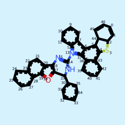 C1=CC2Sc3c(c4c5ccccc5n(C5=Nc6c(oc7c6ccc6ccccc67)C(c6ccccc6)N5)c4c4ccccc34)C2C=C1